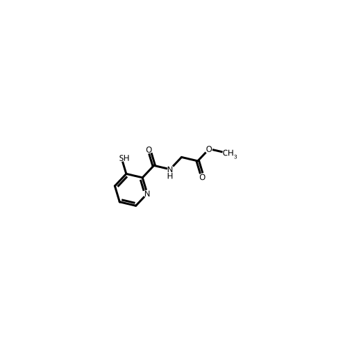 COC(=O)CNC(=O)c1ncccc1S